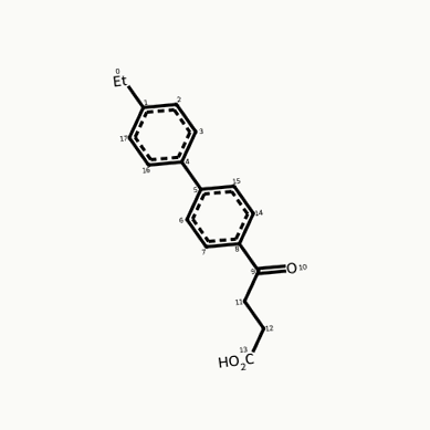 CCc1ccc(-c2ccc(C(=O)CCC(=O)O)cc2)cc1